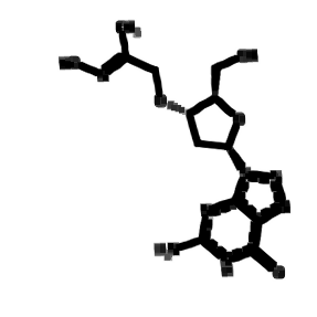 CC(CO[C@H]1C[C@H](n2nnc3c(=O)[nH]c(N)nc32)O[C@@H]1CO)=NO